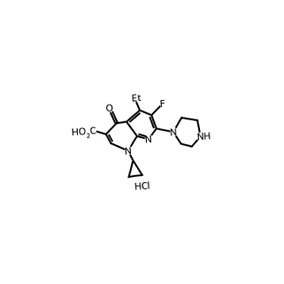 CCc1c(F)c(N2CCNCC2)nc2c1c(=O)c(C(=O)O)cn2C1CC1.Cl